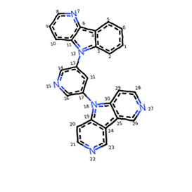 c1ccc2c(c1)c1ncccc1n2-c1cncc(-n2c3ccncc3c3cnccc32)c1